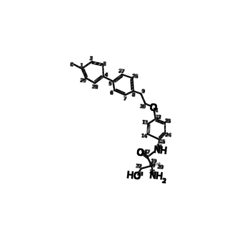 Cc1ccc(-c2ccc(CCOc3ccc(NC(=O)[C@@](C)(N)CO)cc3)cc2)cc1